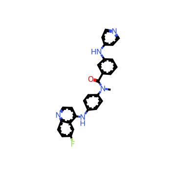 CN(C(=O)c1cccc(Nc2ccncc2)c1)c1ccc(Nc2ccnc3ccc(F)cc23)cc1